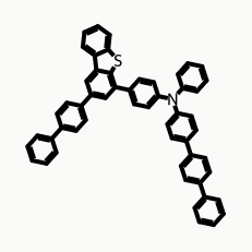 c1ccc(-c2ccc(-c3ccc(N(c4ccccc4)c4ccc(-c5cc(-c6ccc(-c7ccccc7)cc6)cc6c5sc5ccccc56)cc4)cc3)cc2)cc1